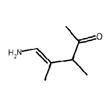 CC(=O)C(C)C(C)=CN